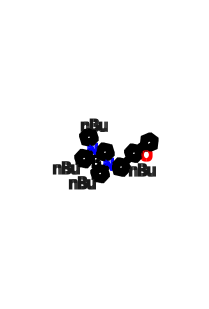 CCCCc1ccc(N2c3ccc(CCCC)cc3B3c4cc(CCCC)ccc4N(c4ccc(CCCC)c(-c5ccc6c(c5)oc5ccccc56)c4)c4cccc2c43)cc1